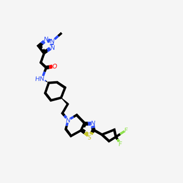 Cn1ncc(CC(=O)N[C@H]2CC[C@H](CCN3CCc4sc(C5CC(F)(F)C5)nc4C3)CC2)n1